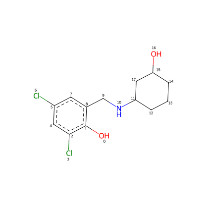 Oc1c(Cl)cc(Cl)cc1CNC1CCCC(O)C1